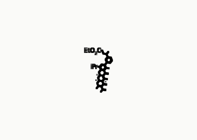 C=C(C)C1=C(C)C[C@@]2(C)C[C@@]3(C)Cc4c(C(C)C)cc(-c5cccc(C(C)CCC(=O)OCC)c5)c(C)c4C(=C)C3=C(C)[C@@]2(C)C1=C